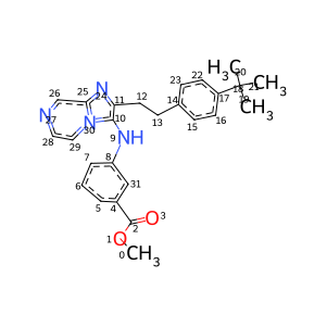 COC(=O)c1cccc(Nc2c(CCc3ccc(C(C)(C)C)cc3)nc3cnccn23)c1